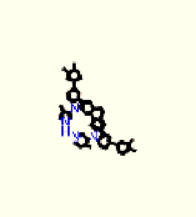 Cc1ccc(C2=Cc3c(n(-c4cnccc4C)c4cc5c(cc34)CCc3cc4c6cc(-c7ccc(C)c(C)c7)ccc6n(-c6c[nH]cc6C)c4cc3-5)CC2)cc1C